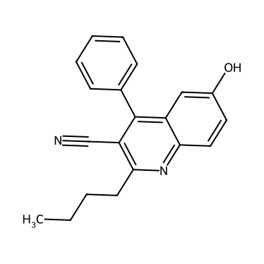 CCCCc1nc2ccc(O)cc2c(-c2ccccc2)c1C#N